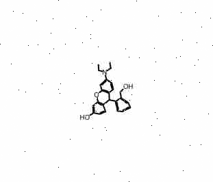 CCN(CC)c1ccc2c(c1)Oc1cc(O)ccc1C2c1ccccc1CO